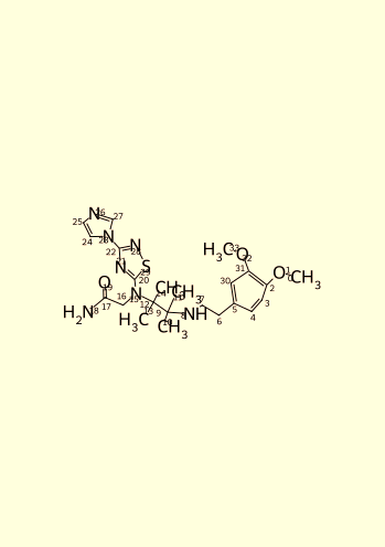 COc1ccc(CCNC(C)(C)C(C)(C)N(CC(N)=O)c2nc(-n3ccnc3)ns2)cc1OC